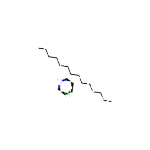 CCCCCCCCCCCCCC.Cl.c1ccncc1